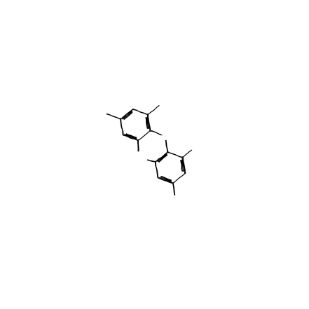 Cc1cc(C)c(Oc2c(C(F)(F)F)cc(N)cc2C(F)(F)F)c(C)c1